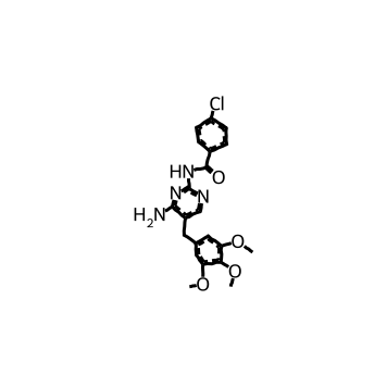 COc1cc(Cc2cnc(NC(=O)c3ccc(Cl)cc3)nc2N)cc(OC)c1OC